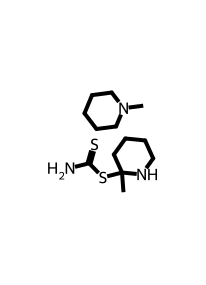 CC1(SC(N)=S)CCCCN1.CN1CCCCC1